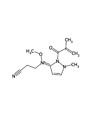 C=C(C)C(=O)n1/c(=[N+](/CCC#N)OC)ccn1C